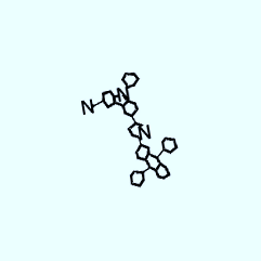 N#Cc1ccc2c(c1)c1cc(-c3ccc(-c4ccc5c(-c6ccccc6)c6ccccc6c(-c6ccccc6)c5c4)nc3)ccc1n2-c1ccccc1